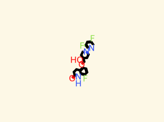 O=C1CCc2c(OCC3(O)CCN(c4ncc(F)cc4F)CC3)ccc(F)c2N1